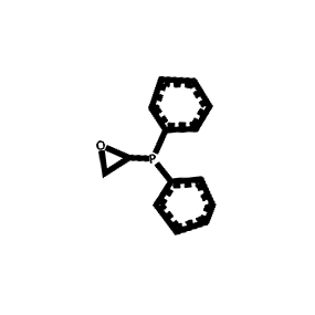 c1ccc(P(c2ccccc2)C2CO2)cc1